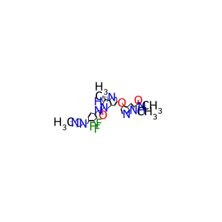 CC[C@H]1CN(C(=O)Nc2ccc(CN3CCN(C)CC3)c(C(F)(F)F)c2)Cc2cc(Oc3ccnc4[nH]c(C(=O)N(C)C)cc34)cnc21